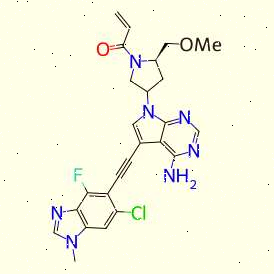 C=CC(=O)N1CC(n2cc(C#Cc3c(Cl)cc4c(ncn4C)c3F)c3c(N)ncnc32)C[C@@H]1COC